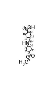 CCOC(=O)c1ccc(NCc2ccc(C(=O)O)cc2)cc1